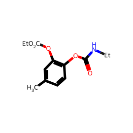 CCNC(=O)Oc1ccc(C)cc1OC(=O)OCC